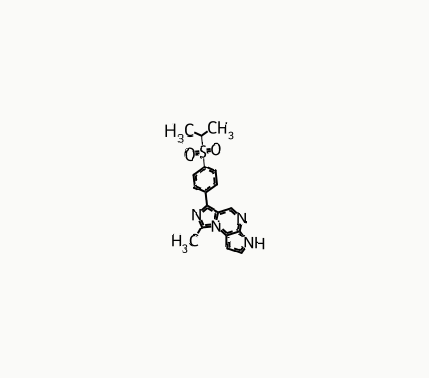 Cc1nc(-c2ccc(S(=O)(=O)C(C)C)cc2)c2cnc3[nH]ccc3n12